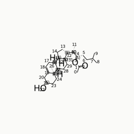 CC(=O)O[C@@H](CCC(C)C)[C@@H](C)[C@H]1CC[C@H]2[C@@H]3CC=C4C[C@@H](O)CC[C@]4(C)[C@H]3CC[C@]12C